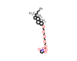 CC(C)CCCC(C)C1CCC2C3CCC4C=C(OCCOCCOCCOCCOC(=O)ON5C(=O)CCC5=O)CCC4(C)C3CCC12C